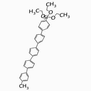 CCO[Si](OCC)(OCC)c1ccc(-c2ccc(-c3ccc(-c4ccc(-c5ccc(C)cc5)cc4)cc3)cc2)cc1